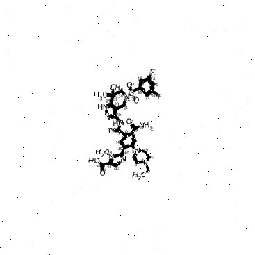 CCN1CCN(c2cc(C(N)=O)c(C(=O)Nc3n[nH]c4c3CN(S(=O)(=O)c3cc(F)cc(F)c3)CC4(C)C)cc2-c2ncc(C(=O)O)n2C)CC1